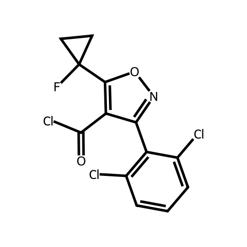 O=C(Cl)c1c(-c2c(Cl)cccc2Cl)noc1C1(F)CC1